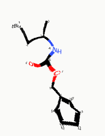 C[C@H](CC(C)(C)C)NC(=O)OCc1ccccc1